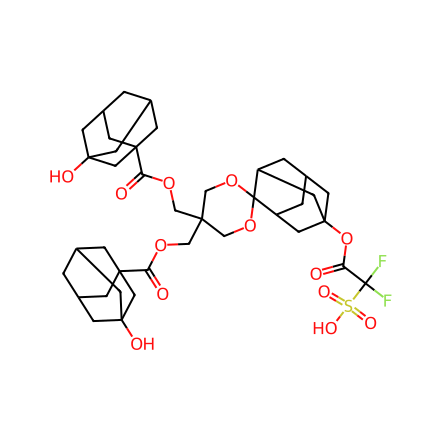 O=C(OCC1(COC(=O)C23CC4CC(CC(O)(C4)C2)C3)COC2(OC1)C1CC3CC2CC(OC(=O)C(F)(F)S(=O)(=O)O)(C3)C1)C12CC3CC(CC(O)(C3)C1)C2